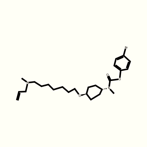 C=CCN(C)CCCCCCCO[C@H]1CC[C@H](N(C)C(=O)Oc2ccc(Br)cc2)CC1